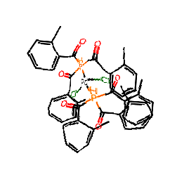 Cc1ccccc1C(=O)[PH](C(=O)c1ccccc1C)(C(=O)c1ccccc1C)[Pd]([Cl])([Cl])[PH](C(=O)c1ccccc1C)(C(=O)c1ccccc1C)C(=O)c1ccccc1C